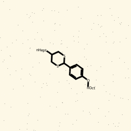 CCCCCCCCOc1ccc(C2SCC(CCCCCCC)CS2)cc1